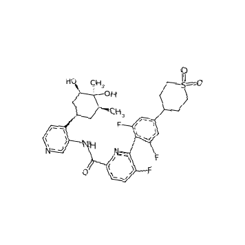 C[C@H]1C[C@@H](c2ccncc2NC(=O)c2ccc(F)c(-c3c(F)cc(C4CCS(=O)(=O)CC4)cc3F)n2)C[C@@H](O)[C@@]1(C)O